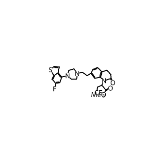 COC(=O)C(CC(F)(F)F)N1C(=O)CCc2ccc(CCN3CCN(c4cc(F)cc5sccc45)CC3)cc21